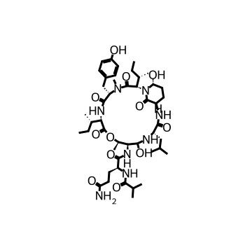 CC[C@H](C)[C@@H]1NC(=O)[C@H](Cc2ccc(O)cc2)N(C)C(=O)[C@H]([C@@H](C)CC)N2C(=O)[C@H](CC[C@H]2O)NC(=O)[C@H](CC(C)C)NC(O)[C@@H](NC(=O)[C@H](CCC(N)=O)NC(=O)C(C)C)[C@@H](C)OC1=O